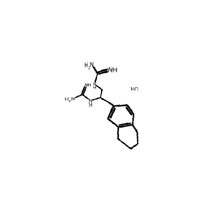 Cl.N=C(N)N[CH]C(NC(=N)N)c1ccc2c(c1)CCCC2